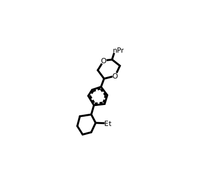 CCCC1COC(c2ccc(C3CCCCC3CC)cc2)CO1